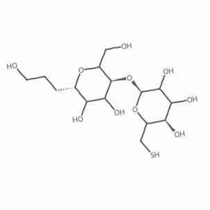 OCCC[C@@H]1OC(CO)[C@@H](O[C@@H]2OC(CS)[C@H](O)C(O)C2O)C(O)C1O